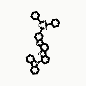 c1ccc(-c2nc(-c3ccccc3)nc(-c3ccc4sc5c(ccc6c7cccc(-n8c9ccccc9c9ccccc98)c7oc65)c4c3)n2)cc1